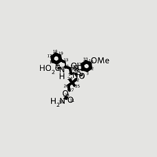 COc1ccc(S(=O)(=O)N(C[C@@H](O)[C@H](Cc2ccccc2)NC(=O)O)CC(C)(C)CCOC(N)=O)cc1